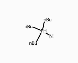 CCCC[PH]([Ni])(CCCC)CCCC